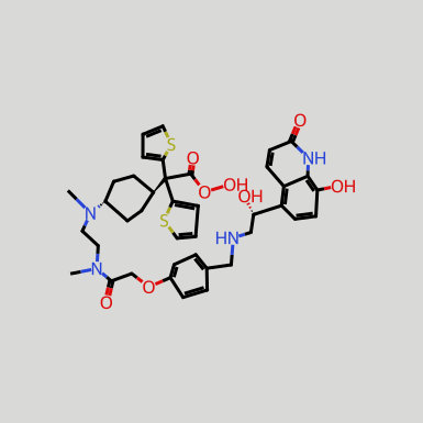 CN(CCN(C)[C@H]1CC[C@H](C(C(=O)OO)(c2cccs2)c2cccs2)CC1)C(=O)COc1ccc(CNC[C@H](O)c2ccc(O)c3[nH]c(=O)ccc23)cc1